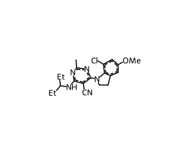 CCC(CC)Nc1nc(C)nc(N2CCc3cc(OC)cc(Cl)c32)c1C#N